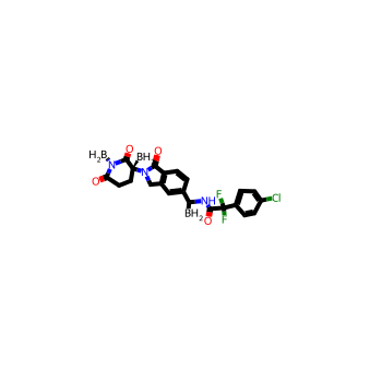 BC(NC(=O)C(F)(F)c1ccc(Cl)cc1)c1ccc2c(c1)CN([C@]1(B)CCC(=O)N(B)C1=O)C2=O